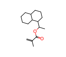 C=C(C)C(=O)OC(C)C1CCCC2CCCCC21